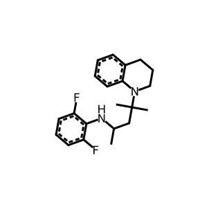 CC(CC(C)(C)N1CCCc2ccccc21)Nc1c(F)cccc1F